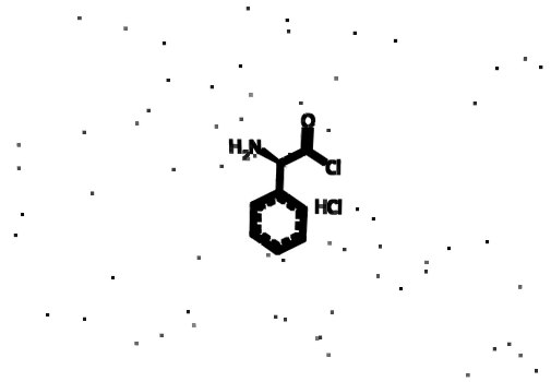 Cl.N[C@@H](C(=O)Cl)c1ccccc1